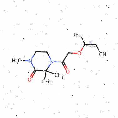 CN1CCN(C(=O)CO/C(=C\C#N)C(C)(C)C)C(C)(C)C1=O